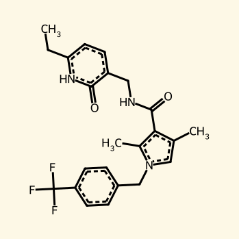 CCc1ccc(CNC(=O)c2c(C)cn(Cc3ccc(C(F)(F)F)cc3)c2C)c(=O)[nH]1